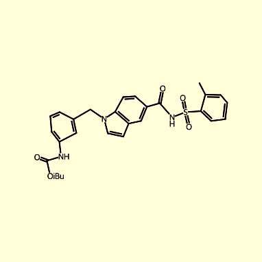 Cc1ccccc1S(=O)(=O)NC(=O)c1ccc2c(ccn2Cc2cccc(NC(=O)OCC(C)C)c2)c1